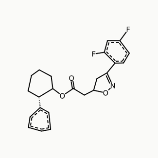 O=C(CC1CC(c2ccc(F)cc2F)=NO1)OC1CCCC[C@H]1c1ccccc1